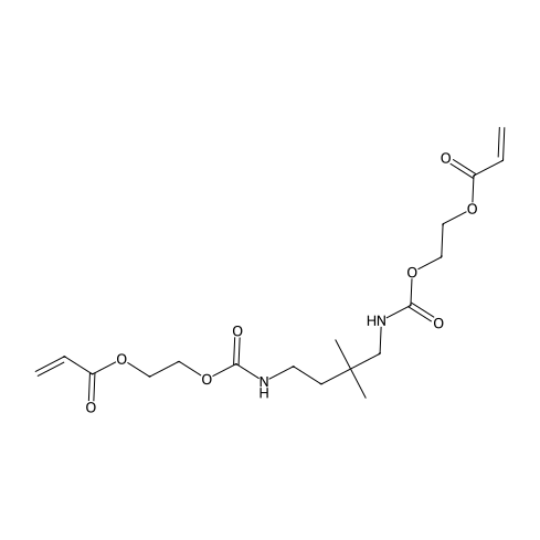 C=CC(=O)OCCOC(=O)NCCC(C)(C)CNC(=O)OCCOC(=O)C=C